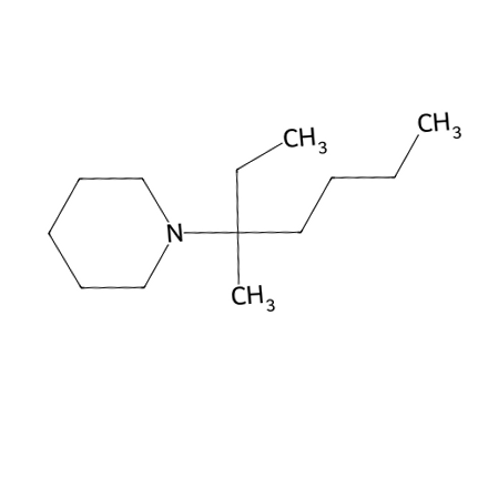 CCCCC(C)(CC)N1CCCCC1